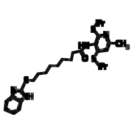 Cc1cc(SC(C)C)c(NC(=O)CCCCCCCCSc2nc3ccccc3[nH]2)c(SC(C)C)n1